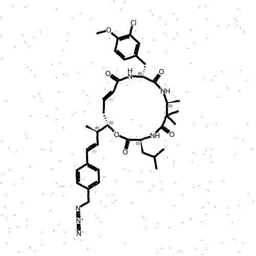 COc1ccc(C[C@H]2NC(=O)/C=C/C[C@@H]([C@H](C)/C=C/c3ccc(CN=[N+]=[N-])cc3)OC(=O)[C@H](CC(C)C)NC(=O)C(C)(C)[C@H](C)NC2=O)cc1Cl